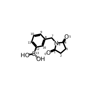 O=C1CCC(=O)N1Cc1cccc(B(O)O)c1